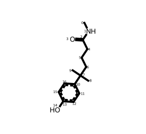 CNC(=O)CCCC(C)(C)c1ccc(O)cc1